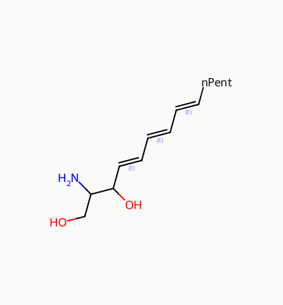 CCCCC/C=C/C=C/C=C/C(O)C(N)CO